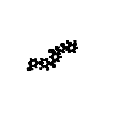 C[C@H]1[C@H](C)N(c2cccc(Cl)c2)CCN1C(=O)c1ccc([S+]([O-])CC(=O)c2cccc(F)c2F)c(Cl)c1